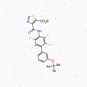 [2H]C([2H])([2H])Oc1cccc(-c2c(F)c(F)c(NC(=O)c3ncsc3C(=O)O)c(F)c2F)c1